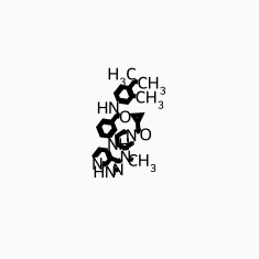 Cc1cc(NC(=O)c2cccc(Nc3ccnc4[nH]nc(N(C)C5CCCN(C(=O)C6CC6)C5)c34)c2)ccc1C(C)C